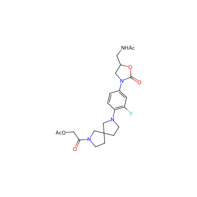 CC(=O)NCC1CN(c2ccc(N3CCC4(CCN(C(=O)COC(C)=O)C4)C3)c(F)c2)C(=O)O1